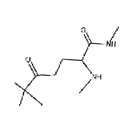 CNC(=O)C(CCC(=O)C(C)(C)C)NC